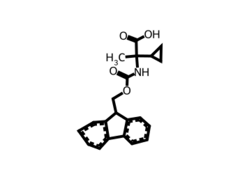 CC(NC(=O)OCC1c2ccccc2-c2ccccc21)(C(=O)O)C1CC1